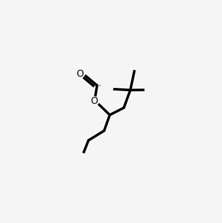 CCCC(CC(C)(C)C)O[C]=O